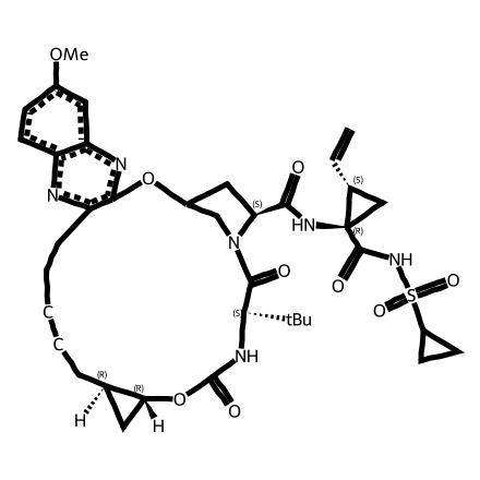 C=C[C@@H]1C[C@]1(NC(=O)[C@@H]1CC2CN1C(=O)[C@H](C(C)(C)C)NC(=O)O[C@@H]1C[C@H]1CCCCCc1nc3ccc(OC)cc3nc1O2)C(=O)NS(=O)(=O)C1CC1